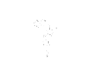 COc1nc(N2CCN3CCC2CC3)c(C)cc1Nc1ncc(Br)c(Nc2ccc3nccnc3c2P(C)C)n1